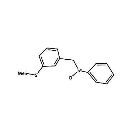 CSSc1cccc(C[S+]([O-])c2ccccc2)c1